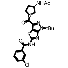 CC(=O)N[C@H]1CCN(C(=O)c2nn(C(C)(C)C)c3nc(NC(=O)c4cccc(Cl)c4)sc23)C1